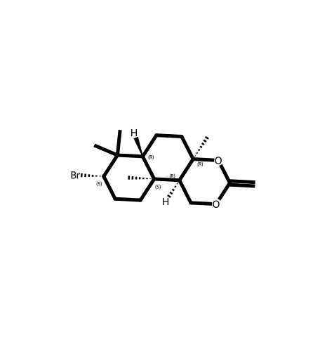 C=C1OC[C@H]2[C@@]3(C)CC[C@H](Br)C(C)(C)[C@@H]3CC[C@@]2(C)O1